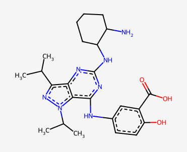 CC(C)c1nn(C(C)C)c2c(Nc3ccc(O)c(C(=O)O)c3)nc(NC3CCCCC3N)nc12